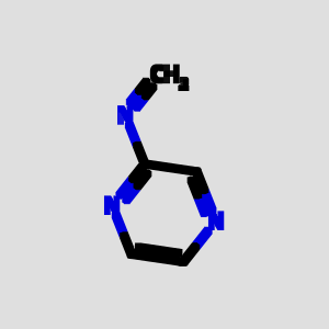 C=Nc1cnccn1